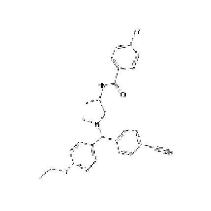 CCOc1ccc([C@@H](c2ccc(C#N)cc2)N2CCC(NC(=O)c3ccc(Cl)cc3)C2)cc1